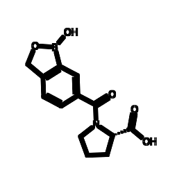 O=C(O)[C@@H]1CCCN1C(=O)c1ccc2c(c1)B(O)OC2